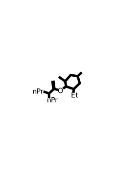 C=C(OC1C(C)CC(C)CC1CC)C(CCC)CCC